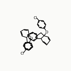 O=C(CC1(Oc2ccc(Cl)cc2)C=CC=CC1c1ccccc1)CC1(Oc2ccc(Cl)cc2)C=CC=CC1c1ccccc1